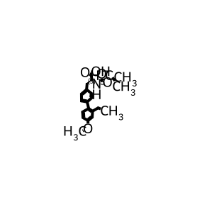 CCc1cc(OC)ccc1-c1ccc(C[C@H](NC(=O)OC(C)(C)C)C(=O)O)cc1